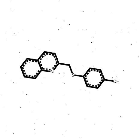 Oc1ccc(SCc2ccc3ccccc3n2)cc1